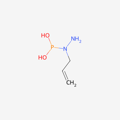 C=CCN(N)P(O)O